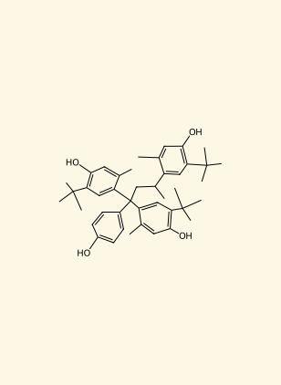 Cc1cc(O)c(C(C)(C)C)cc1C(C)CC(c1ccc(O)cc1)(c1cc(C(C)(C)C)c(O)cc1C)c1cc(C(C)(C)C)c(O)cc1C